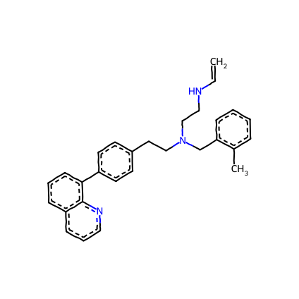 C=CNCCN(CCc1ccc(-c2cccc3cccnc23)cc1)Cc1ccccc1C